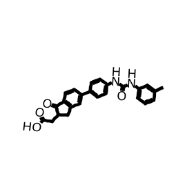 Cc1cccc(NC(=O)Nc2ccc(-c3ccc4c(c3)CC(CC(=O)O)C4=O)cc2)c1